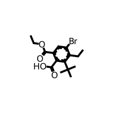 CCOC(=O)c1cc(Br)c(CC)c(C(C)(C)C)c1C(=O)O